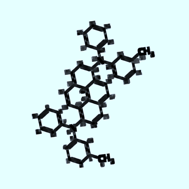 Cc1cccc(N(c2ccccc2)c2[c]cc3ccc4c(N(c5ccccc5)c5cccc(C)c5)ccc5ccc2c3c54)c1